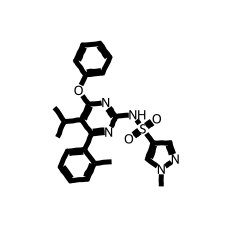 Cc1ccccc1-c1nc(NS(=O)(=O)c2cnn(C)c2)nc(Oc2ccccc2)c1C(C)C